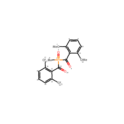 CCC(C)P(=O)(C(=O)c1c(OC)cccc1OC)C(=O)c1c(C(F)(F)F)cccc1C(F)(F)F